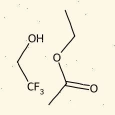 CCOC(C)=O.OCC(F)(F)F